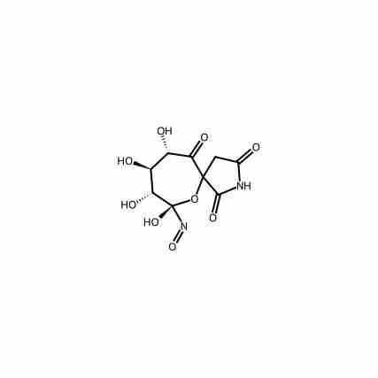 O=N[C@@]1(O)OC2(CC(=O)NC2=O)C(=O)[C@@H](O)[C@H](O)[C@H]1O